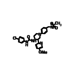 COc1ccc(C2CN(c3ccc(CNS(C)(=O)=O)cc3)CCC2NC(=O)Nc2ccc(Cl)cc2)nc1